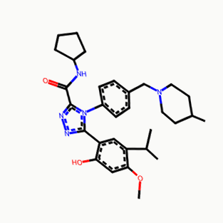 COc1cc(O)c(-c2nnc(C(=O)NC3CCCC3)n2-c2ccc(CN3CCC(C)CC3)cc2)cc1C(C)C